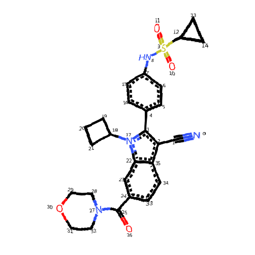 N#Cc1c(-c2ccc(NS(=O)(=O)C3CC3)cc2)n(C2CCC2)c2cc(C(=O)N3CCOCC3)ccc12